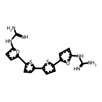 N=C(N)Nc1ccc(-c2ccc(-c3ccc(-c4ccc(NC(=N)N)o4)s3)s2)o1